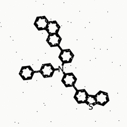 c1ccc(-c2ccc(N(c3ccc(-c4ccc5sc6ccccc6c5c4)cc3)c3cccc(-c4ccc5c(ccc6ccccc65)c4)c3)cc2)cc1